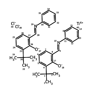 CC(C)(C)c1cccc(/C=N/c2ccccc2)c1[O-].CC(C)(C)c1cccc(/C=N/c2ccccc2)c1[O-].[Cl-].[Cl-].[Ti+4]